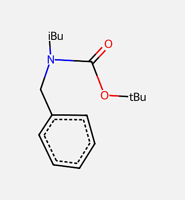 CCC(C)N(Cc1ccccc1)C(=O)OC(C)(C)C